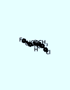 Cc1c(C(=O)N[C@@H](Cc2ccc(OCc3ccc(F)cc3)cc2)C(=O)O)oc2cc(-c3ccc(Cl)cc3)ccc12